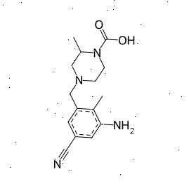 Cc1c(N)cc(C#N)cc1CN1CCN(C(=O)O)C(C)C1